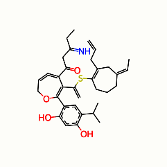 C=CCC1=C(SC(=C)C2=C(c3cc(C(C)C)c(O)cc3O)OCC=C=C2C(=O)CC(=N)CC)CCC/C(=C/C)C1